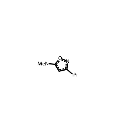 CNc1cc(C(C)C)no1